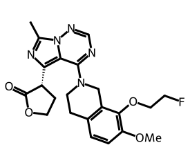 COc1ccc2c(c1OCCF)CN(c1ncnn3c(C)nc([C@@H]4CCOC4=O)c13)CC2